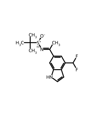 CC(=N[S@+]([O-])C(C)(C)C)c1cc(C(F)F)c2cc[nH]c2c1